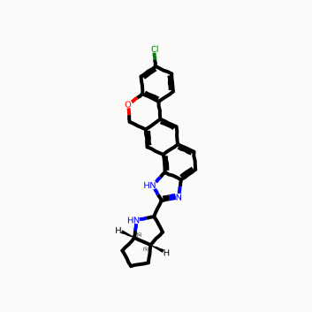 Clc1ccc2c(c1)OCc1cc3c(ccc4nc(C5C[C@@H]6CCC[C@@H]6N5)[nH]c43)cc1-2